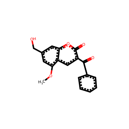 COc1cc(CO)cc2oc(=O)c(C(=O)c3ccccc3)cc12